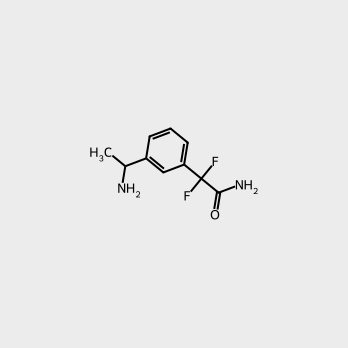 CC(N)c1cccc(C(F)(F)C(N)=O)c1